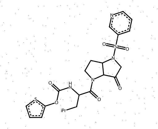 CC(C)CC(NC(=O)Oc1cccs1)C(=O)N1CCC2C1C(=O)CN2S(=O)(=O)c1cccnc1